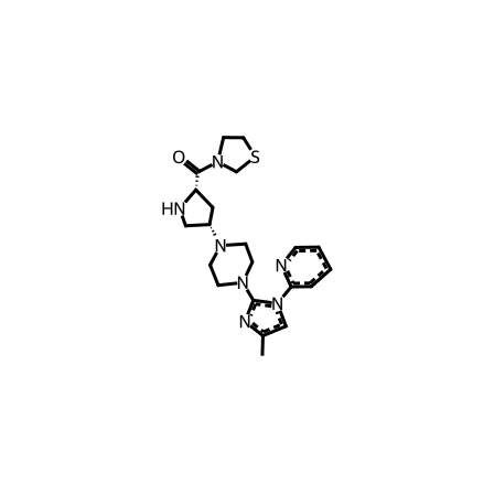 Cc1cn(-c2ccccn2)c(N2CCN([C@@H]3CN[C@H](C(=O)N4CCSC4)C3)CC2)n1